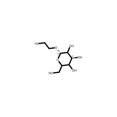 OCC1O[C@H](OCCS)C(O)[C@@H](O)C1O